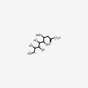 COC(CC(=O)C(=O)O)C(O)C(O)C(O)C(O)CO